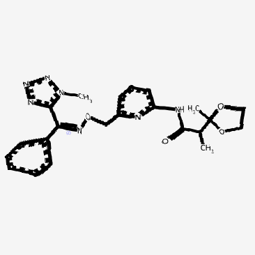 CC(C(=O)Nc1cccc(CO/N=C(/c2ccccc2)c2nnnn2C)n1)C1(C)OCCO1